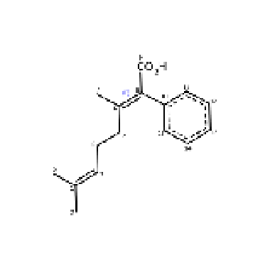 CC(C)=CCC/C(C)=C(/C(=O)O)c1ccccc1